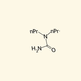 CC[CH]N(CCC)C(N)=O